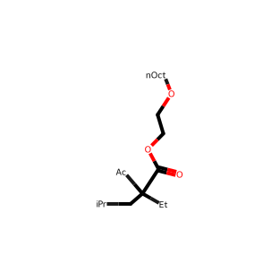 CCCCCCCCOCCOC(=O)C(CC)(CC(C)C)C(C)=O